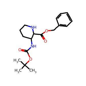 CC(C)(C)OC(=O)NC1CCCNC1C(=O)OCc1ccccc1